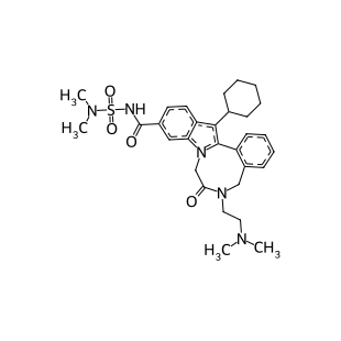 CN(C)CCN1Cc2ccccc2-c2c(C3CCCCC3)c3ccc(C(=O)NS(=O)(=O)N(C)C)cc3n2CC1=O